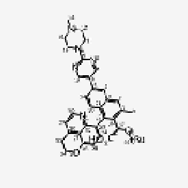 Cc1cc2cc(-c3cnc(N4CCN(C)CC4)nc3)ccc2c(-c2ccc3c4c(ccnc24)CCO3)c1C(OC(C)(C)C)C(=O)O